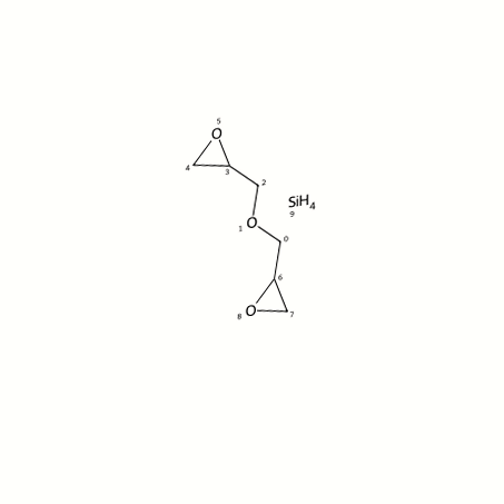 C(OCC1CO1)C1CO1.[SiH4]